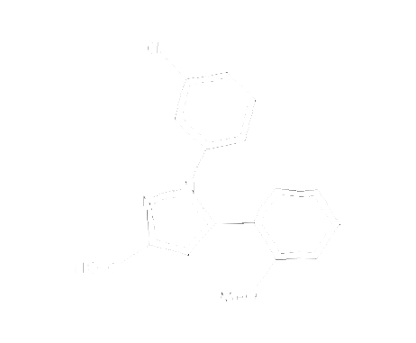 COc1ccccc1-c1cc(C(=O)O)nn1-c1cccc(Cl)c1